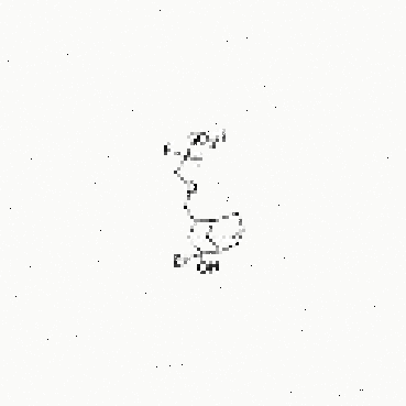 CCC1(O)C2CC3CC(C2)C(COCC(F)(F)S(=O)(=O)O)C1C3